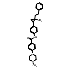 CN1CCN(c2ccc(C(=O)Nc3ccc(C4CC4(N)CCc4ccccc4)cc3)cc2)CC1